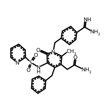 Cc1c(CC(N)=O)c(Cc2ccccc2)c(NS(=O)(=O)c2ccccn2)c(=O)n1Cc1ccc(C(=N)N)cc1